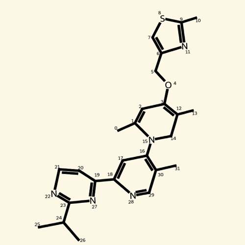 CC1=CC(OCc2csc(C)n2)=C(C)CN1c1cc(-c2ccnc(C(C)C)n2)ncc1C